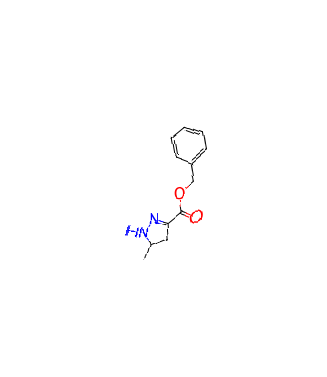 CC1CC(C(=O)OCc2ccccc2)=NN1